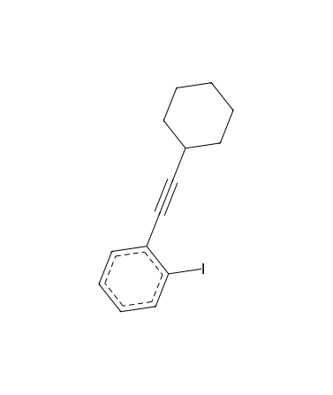 Ic1ccccc1C#CC1CCCCC1